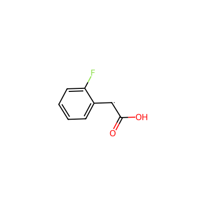 O=C(O)[CH]c1ccccc1F